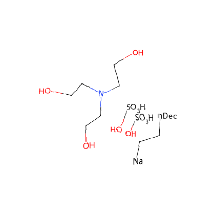 CCCCCCCCCCC[CH2][Na].O=S(=O)(O)O.O=S(=O)(O)O.OCCN(CCO)CCO